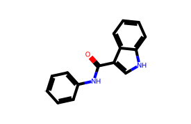 O=C(Nc1cc[c]cc1)c1c[nH]c2ccccc12